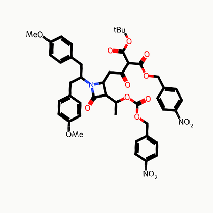 COc1ccc(CC(Cc2ccc(OC)cc2)N2C(=O)C(C(C)OC(=O)OCc3ccc([N+](=O)[O-])cc3)C2CC(=O)C(C(=O)OCc2ccc([N+](=O)[O-])cc2)C(=O)OC(C)(C)C)cc1